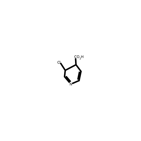 O=C(O)C1C=CN=CC1Cl